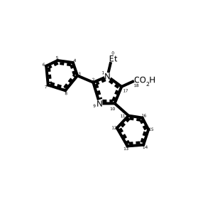 CCn1c(-c2ccccc2)nc(-c2ccccc2)c1C(=O)O